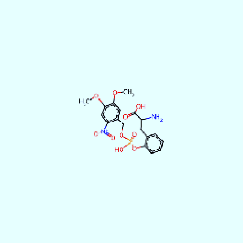 COc1cc(COP(=O)(O)Oc2ccccc2CC(N)C(=O)O)c([N+](=O)[O-])cc1OC